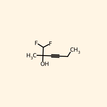 CCC#CC(C)(O)C(F)F